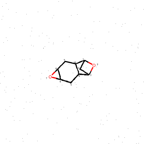 C1C2OC1C1CC3OC3CC21